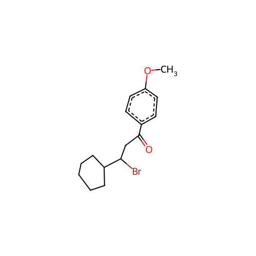 COc1ccc(C(=O)CC(Br)C2CCCCC2)cc1